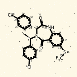 C[C@H](c1ccc(Cl)cc1)N1C(=O)c2cc(SC(F)(F)F)ccc2NC(=O)[C@H]1c1ccc(Cl)cc1